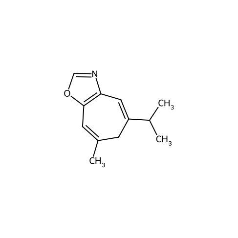 CC1=Cc2ocnc2C=C(C(C)C)C1